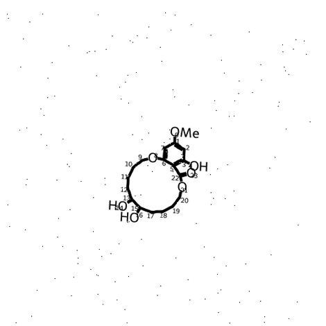 COc1cc(O)c2c(c1)OCCCCC(O)C(O)CCCCOC2=O